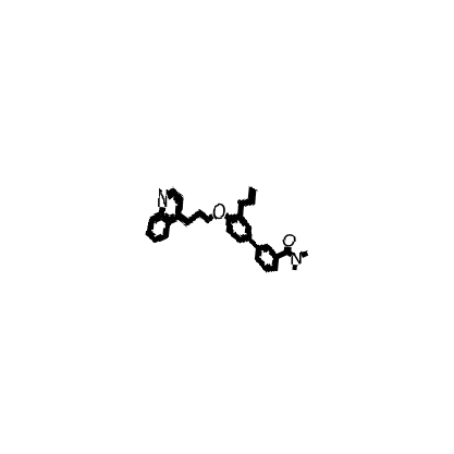 C=CCc1cc(-c2cccc(C(=O)N(C)C)c2)ccc1OCCCc1ccnc2ccccc12